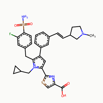 CN1CCC(C=Cc2cccc(-c3cc(-c4nc(C(=O)O)cs4)n(CC4CC4)c3Cc3ccc(S(N)(=O)=O)c(F)c3)c2)C1